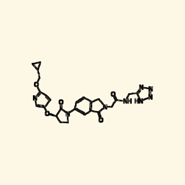 O=C(CN1Cc2ccc(N3CC[C@@H](Oc4ccc(OCC5CC5)nc4)C3=O)cc2C1=O)NCc1nnn[nH]1